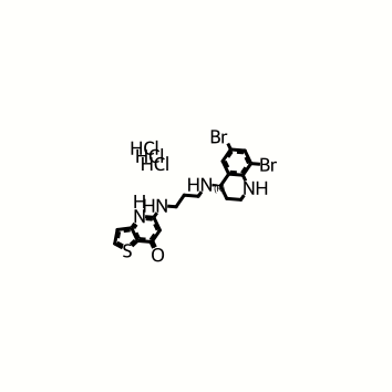 Cl.Cl.Cl.O=c1cc(NCCCN[C@@H]2CCNc3c(Br)cc(Br)cc32)[nH]c2ccsc12